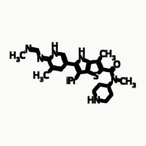 C/N=C\N=c1/[nH]cc(-c2[nH]c3c(C)c(C(=O)N(C)C4CCNCC4)sc3c2C(C)C)cc1C